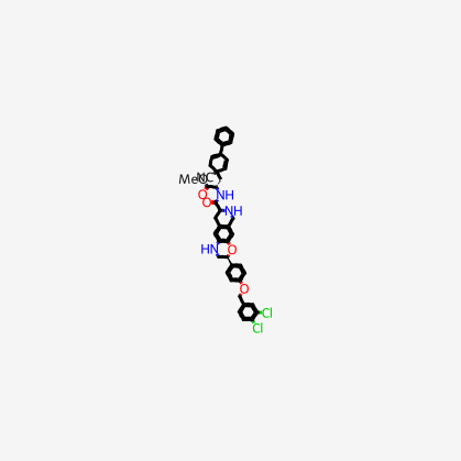 COC(=O)[C@H](CC1(C#N)C=CC(c2ccccc2)=CC1)NC(=O)C1Cc2cc3c(cc2CN1)O[C@@H](c1ccc(OCc2ccc(Cl)c(Cl)c2)cc1)CN3